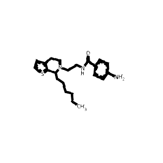 CCCCCCC1c2sccc2CCN1CCNC(=O)c1ccc(N)cc1